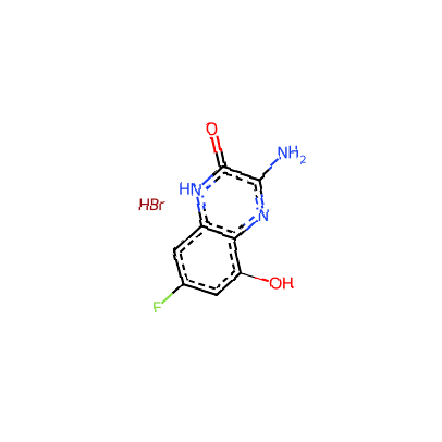 Br.Nc1nc2c(O)cc(F)cc2[nH]c1=O